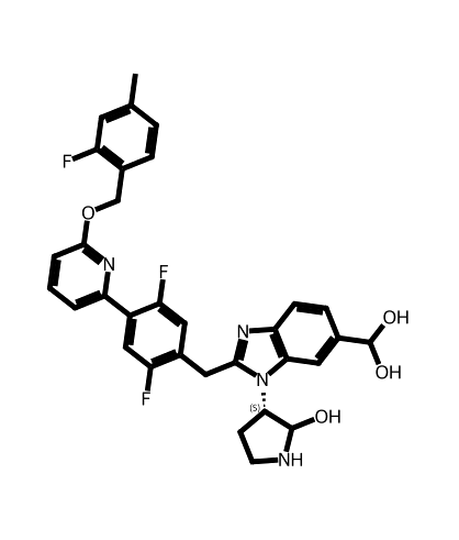 Cc1ccc(COc2cccc(-c3cc(F)c(Cc4nc5ccc(C(O)O)cc5n4[C@H]4CCNC4O)cc3F)n2)c(F)c1